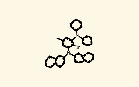 Cc1cc(N(c2ccccc2)c2ccccc2)c(Br)c(N(c2ccc3ccccc3c2)c2ccc3ccccc3c2)c1